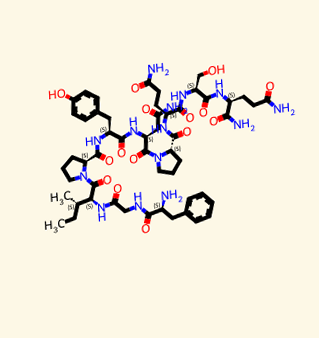 CC[C@H](C)[C@H](NC(=O)CNC(=O)[C@@H](N)Cc1ccccc1)C(=O)N1CCC[C@H]1C(=O)N[C@@H](Cc1ccc(O)cc1)C(=O)N[C@@H](CC(N)=O)C(=O)N1CCC[C@H]1C(=O)N[C@@H](CCC(N)=O)C(=O)N[C@@H](CO)C(=O)N[C@@H](CCC(N)=O)C(N)=O